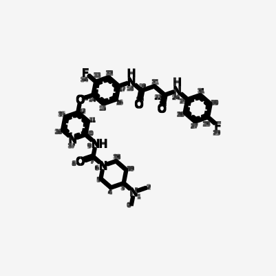 CN(C)C1CCN(C(=O)Nc2cc(Oc3ccc(NC(=O)CC(=O)Nc4ccc(F)cc4)cc3F)ccn2)CC1